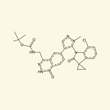 Cn1ncc(-c2ccc3c(=O)[nH]nc(CNC(=O)OC(C)(C)C)c3c2)c1N1C(=O)C2(CC2)c2cccc(Cl)c21